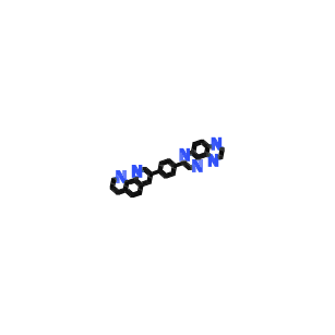 c1cnc2c(c1)ccc1cc(-c3ccc(-c4cnc5c(ccc6nccnc65)n4)cc3)cnc12